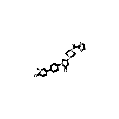 Cn1cc(-c2ccc(N3CC(N4CCN(C(=O)c5nccs5)CC4)CC3=O)cc2)ccc1=O